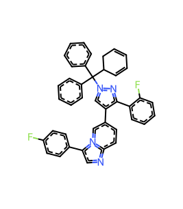 Fc1ccc(-c2cnc3ccc(-c4cn(C(c5ccccc5)(c5ccccc5)C5C=CC=CC5)nc4-c4ccccc4F)cn23)cc1